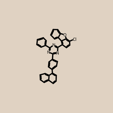 Clc1ccc(-c2nc(-c3ccccc3)nc(-c3ccc(-c4cccc5ccccc45)cc3)n2)c2c1oc1ccccc12